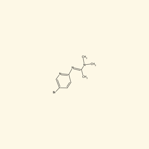 C/C(=N\c1ccc(Br)cn1)N(C)C